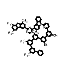 CCc1cc(-c2cc(C)cc(-c3cc(C)cc(-c4cc(C)cc(-c5ccccc5)c4)c3)c2)cc(-c2cc(C)cc(-c3cccc(-n4c5ccccc5c5cc(-c6ncnc(-c7cc(C)c8c(c7)-c7cc(C)cc(C)c7C8)n6)ccc54)n3)c2)c1